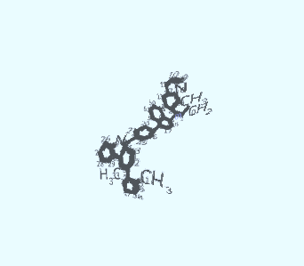 C=C/C=C(\C1=C(C)C2N=CC=CC2C=C1)c1ccc(-c2ccc(-c3nc4ccccc4c4c(C)c(-c5ccccc5C)ccc34)cc2)c2c1CCC=C2